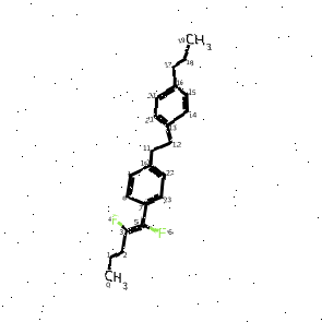 CCCC(F)=C(F)c1ccc(CCc2ccc(CCC)cc2)cc1